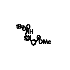 COC(=O)c1cccc(-c2csc(CNC(=O)OC(C)(C)C)n2)c1